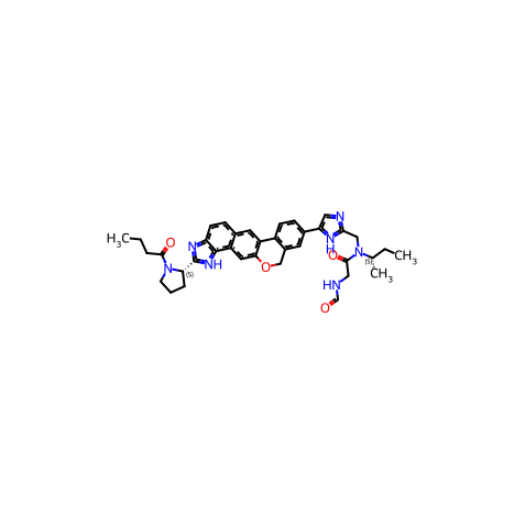 CCCC(=O)N1CCC[C@H]1c1nc2ccc3cc4c(cc3c2[nH]1)OCc1cc(-c2cnc(CN(C(=O)CNC=O)[C@@H](C)CC)[nH]2)ccc1-4